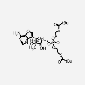 CC(C)(C)C(=O)SCCOP(=O)(OCCSC(=O)C(C)(C)C)OC[C@H]1O[C@@H](c2coc3c(N)ncnc23)[C@](C)(O)[C@@H]1O